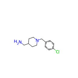 NCC1CCN(Cc2ccc(Cl)cc2)CC1